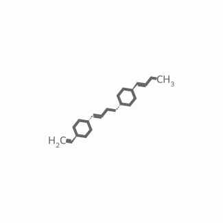 C=C[C@H]1CC[C@H](C=CCC[C@H]2CC[C@H](C=CCC)CC2)CC1